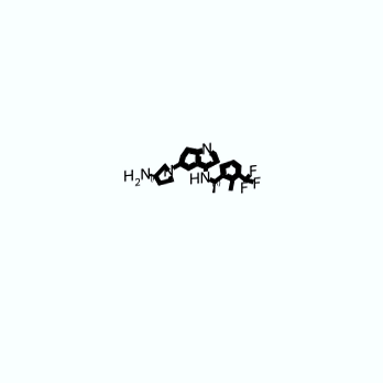 Cc1c([C@@H](C)Nc2ccnc3ccc(N4CC[C@@H](N)C4)cc23)cccc1C(F)(F)F